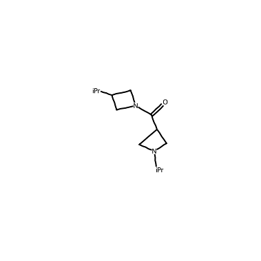 CC(C)C1CN(C(=O)C2CN(C(C)C)C2)C1